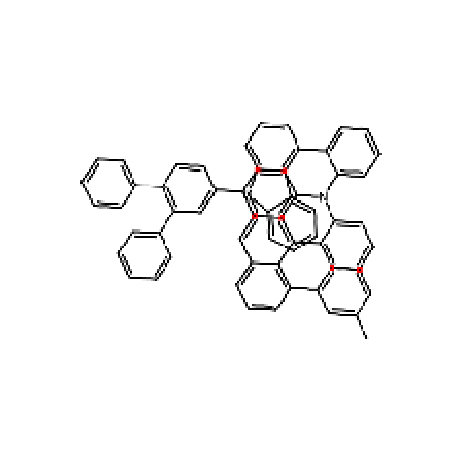 Cc1cccc(-c2cccc3cccc(-c4ccccc4N(c4ccc(-c5ccc(-c6ccccc6)c(-c6ccccc6)c5)cc4)c4ccccc4-c4cccc5oc6ccccc6c45)c23)c1